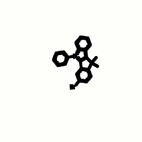 CC1(C)c2ccc(Br)cc2-c2c1c1ccccc1n2-c1ccccc1